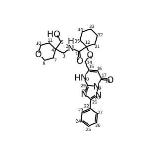 O=C(NCC1(CO)CCOCC1)C1(OCc2cc(=O)n3nc(-c4ccccc4)nc3[nH]2)CCCCC1